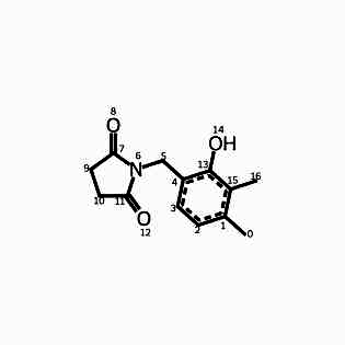 Cc1ccc(CN2C(=O)CCC2=O)c(O)c1C